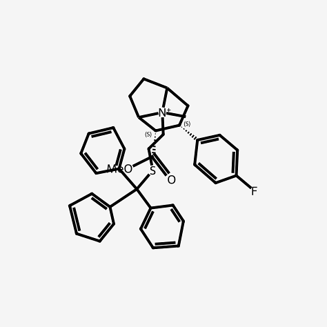 COC(=O)[C@@H]1C2CCC(C[C@@H]1c1ccc(F)cc1)[N+]2(C)CCSC(c1ccccc1)(c1ccccc1)c1ccccc1